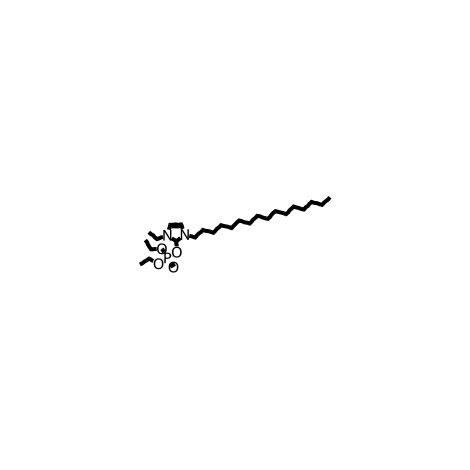 CCCCCCCCCCCCCCCCN1C=CN(CC)C1OP(=O)(OCC)OCC